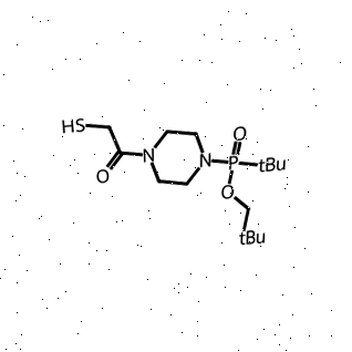 CC(C)(C)COP(=O)(N1CCN(C(=O)CS)CC1)C(C)(C)C